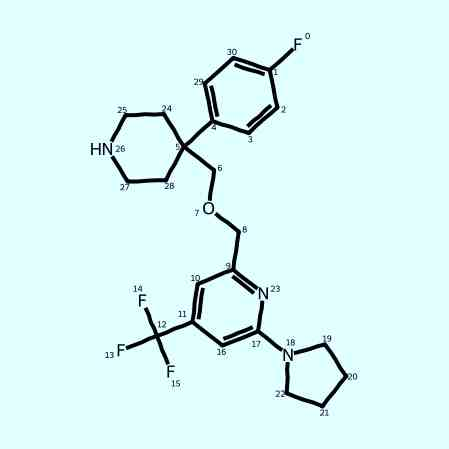 Fc1ccc(C2(COCc3cc(C(F)(F)F)cc(N4CCCC4)n3)CCNCC2)cc1